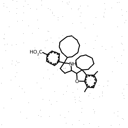 Cc1ccc(C)c2c1OC(C1CCC(c3ccc(C(=O)O)cc3)(C3CCCCCCCCC3)N1)C21CCCCCCC1